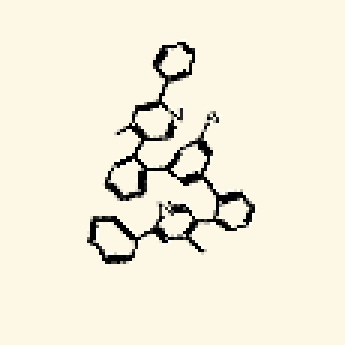 Cc1cc(-c2ccccc2)ncc1-c1ccccc1-c1cc(Br)cc(-c2ccccc2-c2cnc(-c3ccccc3)cc2C)c1